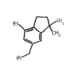 CCc1cc(CC(C)C)cc2c1CCC2(C)C